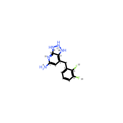 Nc1cc(Cc2cccc(F)c2F)c2c(n1)NNN2